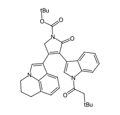 CC(C)(C)CC(=O)n1cc(C2=C(c3cn4c5c(cccc35)CCC4)CN(C(=O)OC(C)(C)C)C2=O)c2ccccc21